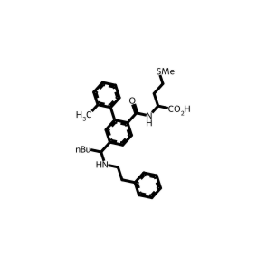 CCCCC(NCCc1ccccc1)c1ccc(C(=O)NC(CCSC)C(=O)O)c(-c2ccccc2C)c1